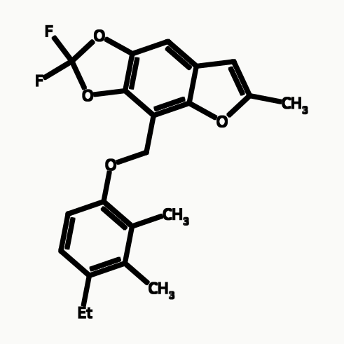 CCc1ccc(OCc2c3c(cc4cc(C)oc24)OC(F)(F)O3)c(C)c1C